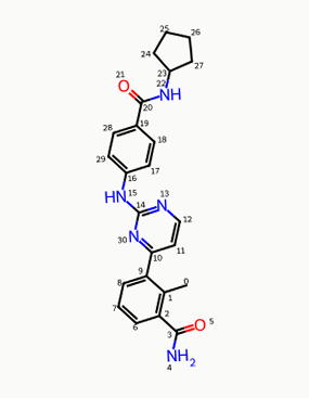 Cc1c(C(N)=O)cccc1-c1ccnc(Nc2ccc(C(=O)NC3CCCC3)cc2)n1